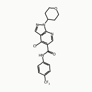 O=C(Nc1ccc(C(F)(F)F)cc1)c1cnc2c(cnn2C2CCOCC2)c1Cl